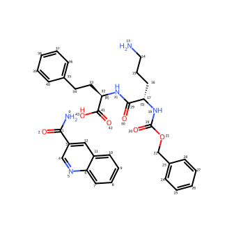 NC(=O)c1cnc2ccccc2c1.NCCC[C@H](NC(=O)OCc1ccccc1)C(=O)N[C@H](CCc1ccccc1)C(=O)O